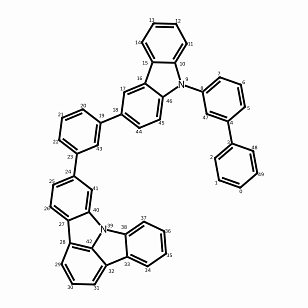 c1ccc(-c2cccc(-n3c4ccccc4c4cc(-c5cccc(-c6ccc7c8cccc9c%10ccccc%10n(c7c6)c98)c5)ccc43)c2)cc1